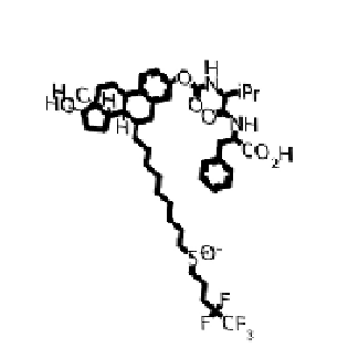 CC(C)C(NC(=O)Oc1ccc2c(c1)C[C@@H](CCCCCCCCC[S+]([O-])CCCC(F)(F)C(F)(F)F)[C@@H]1C2CC[C@]2(C)[C@@H](O)CC[C@@H]12)C(=O)NC(Cc1ccccc1)C(=O)O